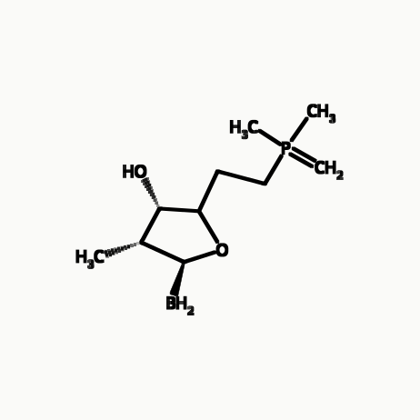 B[C@@H]1OC(CCP(=C)(C)C)[C@@H](O)[C@H]1C